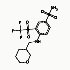 NS(=O)(=O)c1ccc(NCC2CCCOC2)c(S(=O)(=O)C(F)(F)F)c1